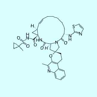 Cc1nc2ccccc2c2c1O[C@]1(CC2)C[C@H]2C(=O)N[C@]3(C(=O)NS(=O)(=O)C4(C)CC4)C[C@H]3/C=C\CCCCC[C@H](Nc3nccs3)C(=O)N2C1